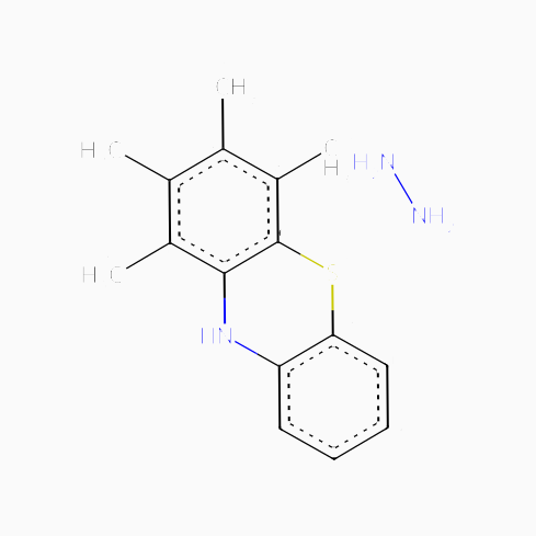 Cc1c(C)c(C)c2c(c1C)Nc1ccccc1S2.NN